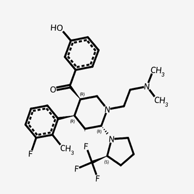 Cc1c(F)cccc1[C@@H]1[CH][C@@H](N2CCC[C@H]2C(F)(F)F)N(CCN(C)C)C[C@@H]1C(=O)c1cccc(O)c1